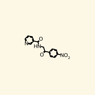 O=C(CNC(=O)c1cccnc1)c1ccc([N+](=O)[O-])cc1